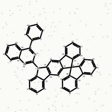 c1ccc(-c2nc(-n3c4ccccc4c4cc5c(cc43)-c3ccccc3C53c4ccccc4-c4ccccc43)nc3ccccc23)cc1